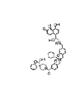 O=C(c1ccc(CN(Cc2ccc(CNCC(O)c3ccc(O)c4[nH]c(=O)ccc34)cc2)S(=O)(=O)c2ccccc2)cc1)N1CCC(C(=O)O)(c2ccccc2)CC1